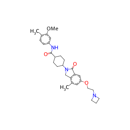 COc1cc(NC(=O)C2CCC(N3Cc4c(C)cc(OCCN5CCC5)cc4C3=O)CC2)ccc1C